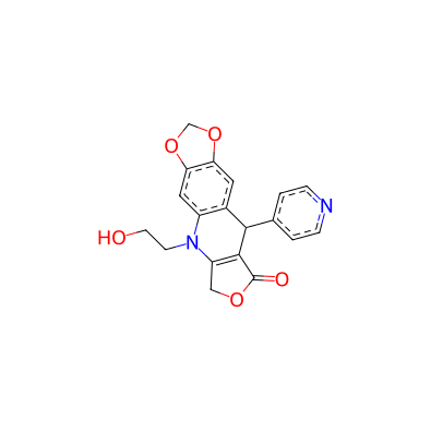 O=C1OCC2=C1C(c1ccncc1)c1cc3c(cc1N2CCO)OCO3